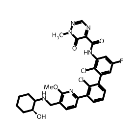 COc1nc(-c2cccc(-c3cc(F)cc(NC(=O)c4ncnn(C)c4=O)c3Cl)c2Cl)ccc1CNC1CCCC[C@@H]1O